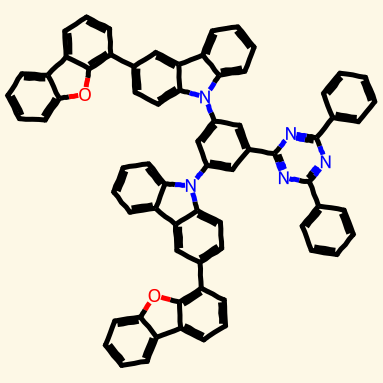 c1ccc(-c2nc(-c3ccccc3)nc(-c3cc(-n4c5ccccc5c5cc(-c6cccc7c6oc6ccccc67)ccc54)cc(-n4c5ccccc5c5cc(-c6cccc7c6oc6ccccc67)ccc54)c3)n2)cc1